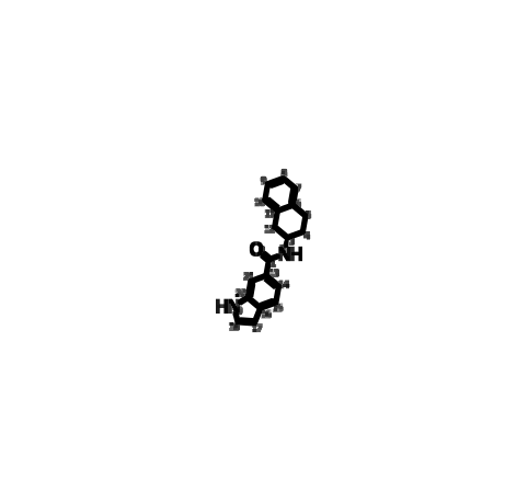 O=C(N[C@@H]1CCc2ccccc2C1)c1ccc2cc[nH]c2c1